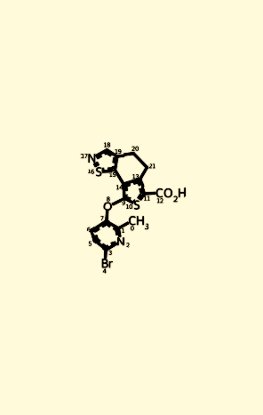 Cc1nc(Br)ccc1Oc1sc(C(=O)O)c2c1-c1sncc1CC2